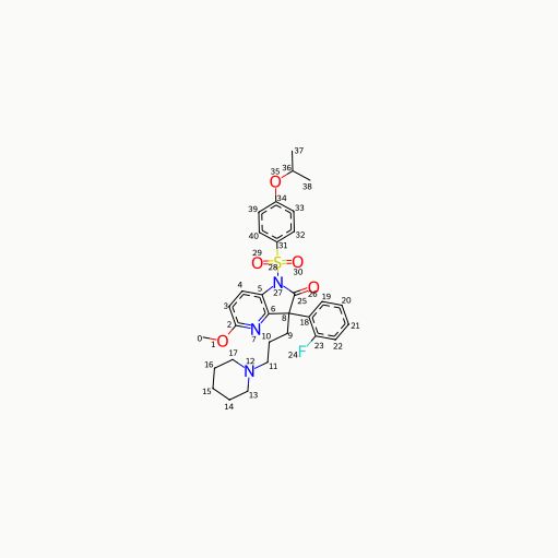 COc1ccc2c(n1)C(CCCN1CCCCC1)(c1ccccc1F)C(=O)N2S(=O)(=O)c1ccc(OC(C)C)cc1